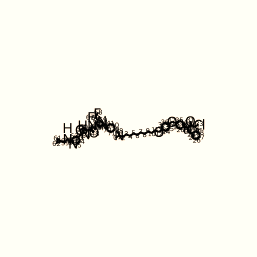 CN(CCCCCCCCCCOc1ccc(Oc2ccc(N(Cc3ccccc3)C(=O)CCl)cc2)cc1)C[C@H]1CC[C@H](n2cc(NC(=O)c3coc(-c4ccnc(NCC5CC5)c4)n3)c(C(F)F)n2)CC1